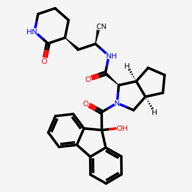 N#C[C@H](C[C@@H]1CCCNC1=O)NC(=O)[C@H]1[C@H]2CCC[C@H]2CN1C(=O)C1(O)c2ccccc2-c2ccccc21